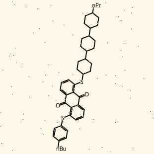 CCCCc1ccc(Sc2cccc3c2C(=O)c2cccc(SC4CCC(C5CCC(C6CCC(CCC)CC6)CC5)CC4)c2C3=O)cc1